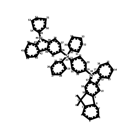 CC1(C)c2ccccc2-c2cc3c4ccccc4n(-c4ccc([Si](c5ccccc5)(c5ccccc5)c5ccc6c(c5)c5ccccc5n6-c5ccccc5)cc4)c3cc21